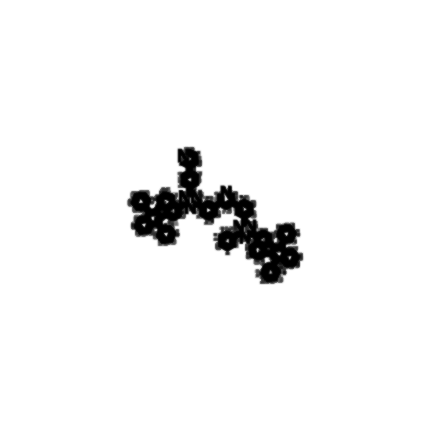 c1ccc(-c2nc(-c3cccc(-c4cncc(-c5cccc(-c6nc(-c7ccc(-c8cccnc8)cc7)nc(-c7ccc8c9c(cccc79)-c7c-8c(-c8ccccc8)c8ccccc8c7-c7ccccc7)n6)c5)c4)c3)nc(-c3ccc4c5c(cccc35)-c3c-4c(-c4ccccc4)c4ccccc4c3-c3ccccc3)n2)cc1